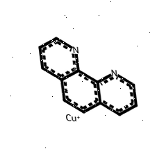 [Cu+].c1cnc2c(c1)ccc1cccnc12